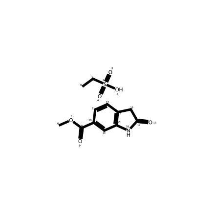 CCS(=O)(=O)O.COC(=O)c1ccc2c(c1)NC(=O)C2